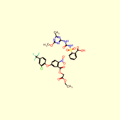 CCOC(=O)COC(=O)c1cc(Oc2ccc(C(F)(F)F)cc2Cl)ccc1[N+](=O)[O-].COc1nc(C)nc(NC(=O)NS(=O)(=O)c2ccccc2C(=O)O)n1